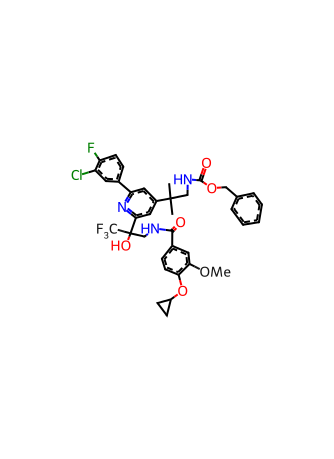 COc1cc(C(=O)NCC(O)(c2cc(C(C)(C)CNC(=O)OCc3ccccc3)cc(-c3ccc(F)c(Cl)c3)n2)C(F)(F)F)ccc1OC1CC1